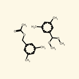 CC(=O)OCc1cc(C)cc(C)c1.COC(OC)c1cc(C)cc(C)c1